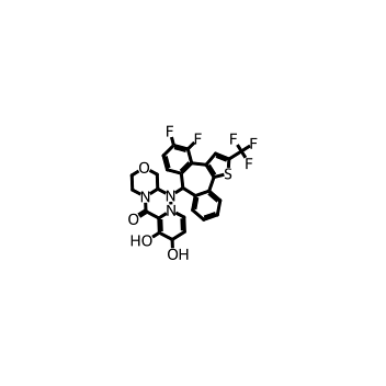 O=C1C2=C(O)C(O)C=CN2N(C2c3ccccc3-c3sc(C(F)(F)F)cc3-c3c2ccc(F)c3F)C2COCCN12